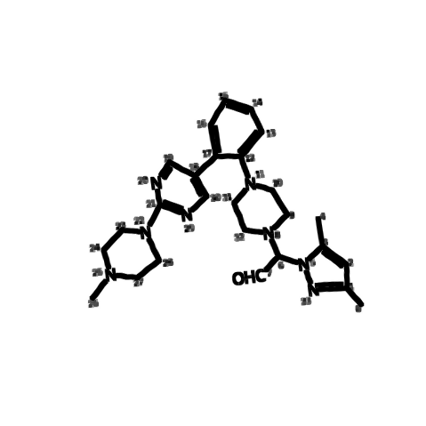 Cc1cc(C)n(C(C=O)N2CCN(c3ccccc3-c3cnc(N4CCN(C)CC4)nc3)CC2)n1